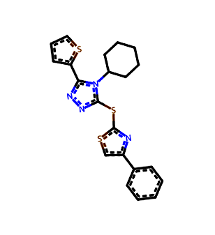 c1ccc(-c2csc(Sc3nnc(-c4cccs4)n3C3CCCCC3)n2)cc1